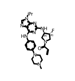 C=CC(=O)N1C[C@@H](F)[C@H](Nc2nc(Nc3ccc(N4CCN(C)CC4)cc3)c3ncn(C(C)C)c3n2)C1